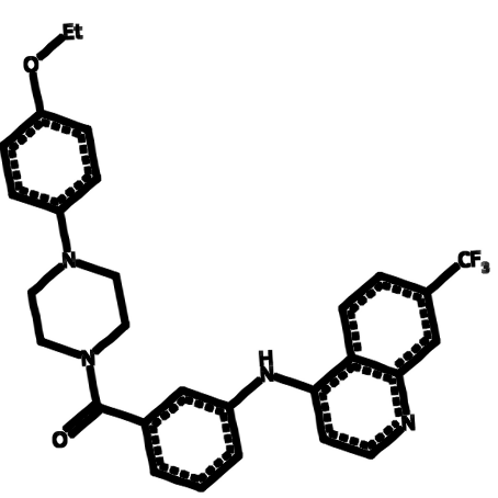 CCOc1ccc(N2CCN(C(=O)c3cccc(Nc4ccnc5cc(C(F)(F)F)ccc45)c3)CC2)cc1